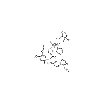 CCOc1cc([C@@H](Nc2ccc3c(N)nccc3c2)C(=O)N2CCC(C(=O)O)C2c2ccccc2S(=O)(=O)CC)c(F)cc1OC.O=C(O)C(F)(F)F